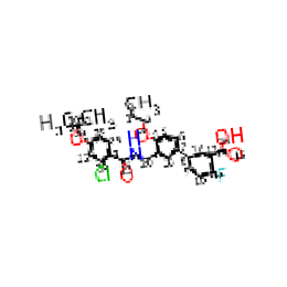 CCCOc1ccc(-c2ccc(F)c(C(=O)O)c2)cc1CNC(=O)c1ccc(OC(C)C)cc1Cl